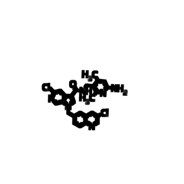 Cc1cc(N)nc(C)c1CNC(=O)c1cn(Cc2ccc3ncc(Cl)cc3c2)c2cnc(Cl)cc12